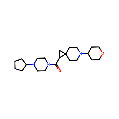 O=C(C1CC12CCN(C1CCOCC1)CC2)N1CCN(C2CCCC2)CC1